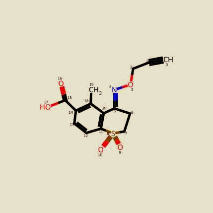 C#CCON=C1CCS(=O)(=O)c2ccc(C(=O)O)c(C)c21